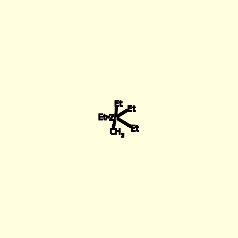 C[CH2][Zr]([CH3])([CH2]C)([CH2]C)[CH2]C